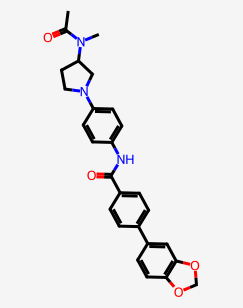 CC(=O)N(C)C1CCN(c2ccc(NC(=O)c3ccc(-c4ccc5c(c4)OCO5)cc3)cc2)C1